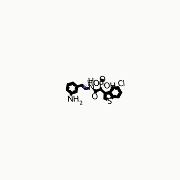 Nc1cccc(/C=C/NC(=O)C(c2csc3ccc(Cl)cc23)P(=O)(O)O)c1